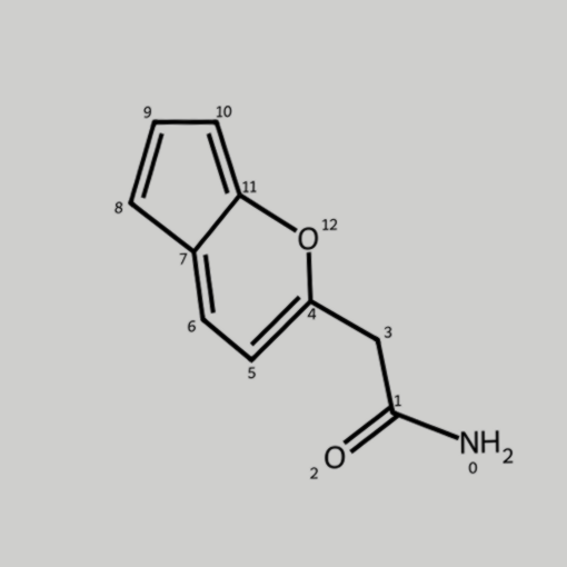 NC(=O)Cc1ccc2cccc-2o1